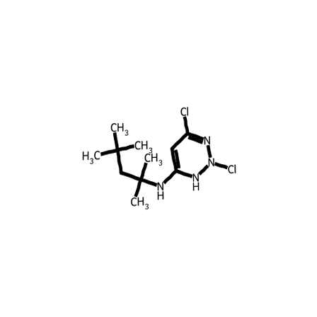 CC(C)(C)CC(C)(C)NC1=CC(Cl)=NN(Cl)N1